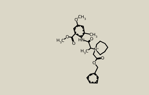 COC(=O)c1cc(OC)cc(C)c1NC(=O)C(C)[N+]1(CC(=O)OCc2ccccc2)CCCCCC1